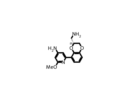 COc1cc(N)cc(-c2cccc3c2O[C@H](CN)CO3)n1